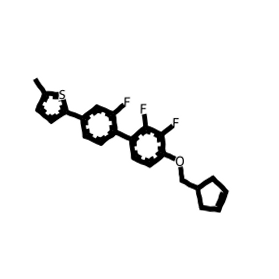 Cc1ccc(-c2ccc(-c3ccc(OCC4CC=CC4)c(F)c3F)c(F)c2)s1